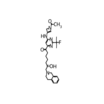 CC(=O)N1C=C(Nc2cc(C(=O)CCCC[C@H](O)CN3CCc4ccccc4C3)nc(C(F)(I)I)n2)C1